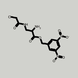 NC(CNC(=O)CCl)C(=O)OCc1cc([N+](=O)[O-])cc([N+](=O)[O-])c1